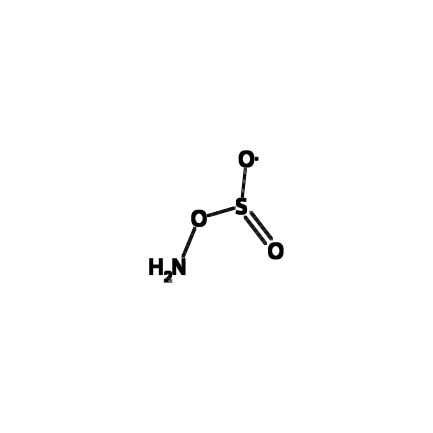 NOS([O])=O